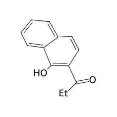 CCC(=O)c1ccc2ccccc2c1O